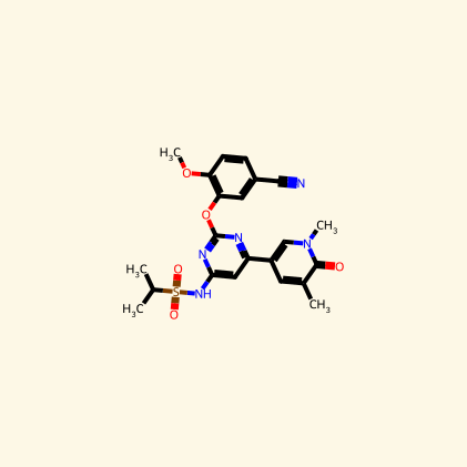 COc1ccc(C#N)cc1Oc1nc(NS(=O)(=O)C(C)C)cc(-c2cc(C)c(=O)n(C)c2)n1